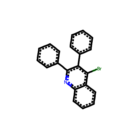 Brc1c(-c2ccccc2)c(-c2ccccc2)nc2ccccc12